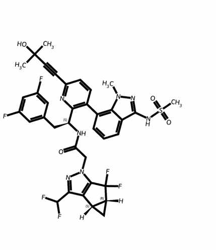 Cn1nc(NS(C)(=O)=O)c2cccc(-c3ccc(C#CC(C)(C)O)nc3[C@H](Cc3cc(F)cc(F)c3)NC(=O)Cn3nc(C(F)F)c4c3C(F)(F)[C@@H]3C[C@H]43)c21